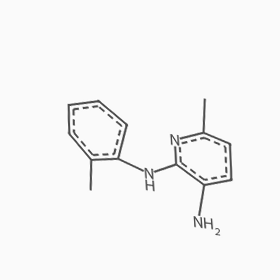 Cc1ccc(N)c(Nc2ccccc2C)n1